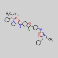 CCCN(CC(=O)Nc1ccc(-c2oc3ccc(NC(=O)[C@@H]4CCCN4C(=O)C(c4ccccc4)C(C)C)cc3c2Br)cc1)C(=O)Cc1ccccc1